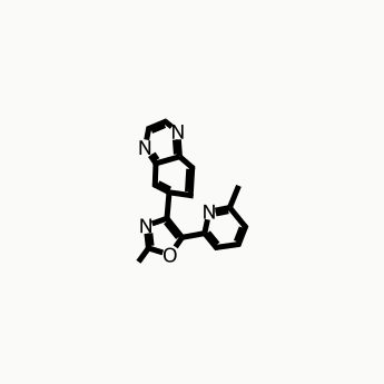 Cc1cccc(-c2oc(C)nc2-c2ccc3nccnc3c2)n1